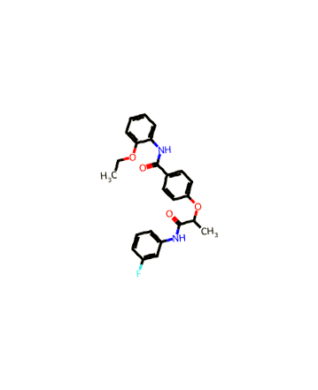 CCOc1ccccc1NC(=O)c1ccc(OC(C)C(=O)Nc2cccc(F)c2)cc1